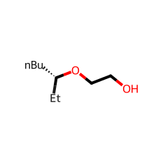 CCCC[C@@H](CC)OCCO